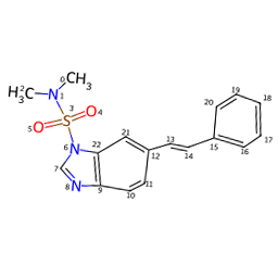 CN(C)S(=O)(=O)n1cnc2ccc(C=Cc3ccccc3)cc21